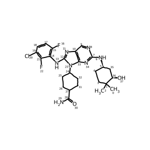 CC1(C)CC[C@@H](Nc2ncc3nc(Nc4c(F)ccc(Cl)c4F)n(C4CCC(C(N)=O)CC4)c3n2)C[C@H]1O